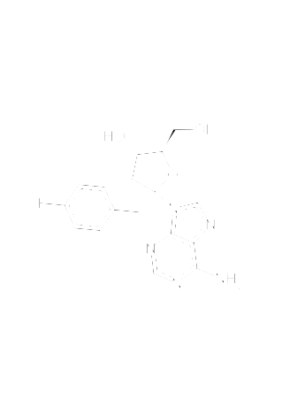 Nc1ncnc2c1ncn2[C@@]1(Cc2ccc(I)cc2)C[C@H](O)[C@@H](CO)O1